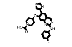 O=C(O)N1CCC(Oc2cc3nc(Nc4cccc(F)c4)ncc3cc2-c2cscn2)CC1